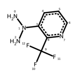 NN(N)c1cccnc1C(F)(F)F